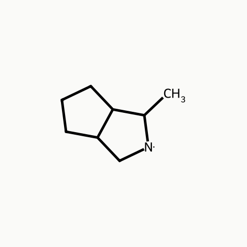 CC1[N]CC2CCCC21